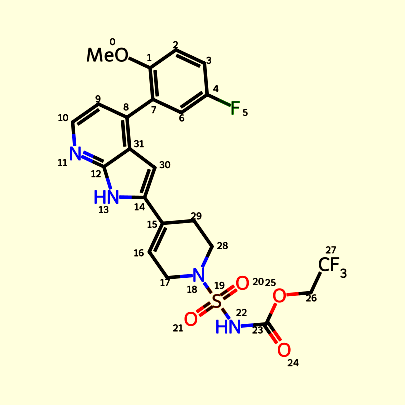 COc1ccc(F)cc1-c1ccnc2[nH]c(C3=CCN(S(=O)(=O)NC(=O)OCC(F)(F)F)CC3)cc12